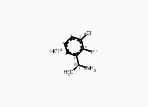 C[C@H](N)c1cccc(Cl)c1F.Cl